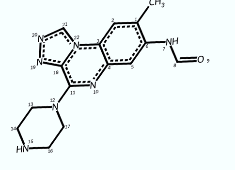 Cc1cc2c(cc1NC=O)nc(N1CCNCC1)c1nncn12